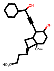 COC12CCC(O)C(C#CC(O)C3CCCCC3)C1CC2=CCCC(=O)O